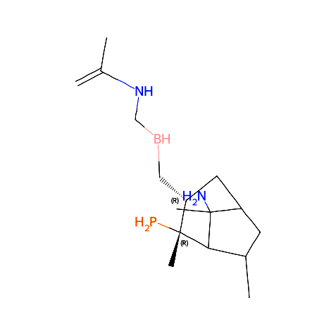 C=C(C)NCBC[C@@H]1CC2CC(C)C(C2(C)N)[C@]1(C)P